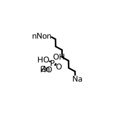 CCCCCCCCCCCCCCC[CH2][Na].O=P(O)(O)O.[Zn]